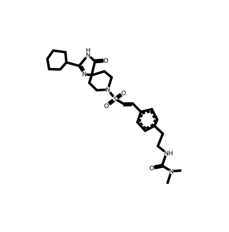 CN(C)C(=O)NCCc1ccc(C=CS(=O)(=O)N2CCC3(CC2)N=C(C2CCCCC2)NC3=O)cc1